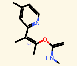 C=C(NC)O/C(C)=C(/C)c1cc(C)ccn1